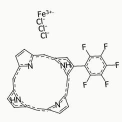 Fc1c(F)c(F)c(-c2cc3cc4nc(cc5ccc(cc6nc(cc2[nH]3)C=C6)[nH]5)C=C4)c(F)c1F.[Cl-].[Cl-].[Cl-].[Fe+3]